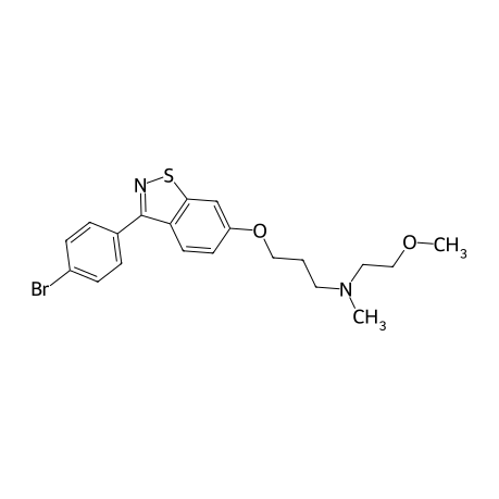 COCCN(C)CCCOc1ccc2c(-c3ccc(Br)cc3)nsc2c1